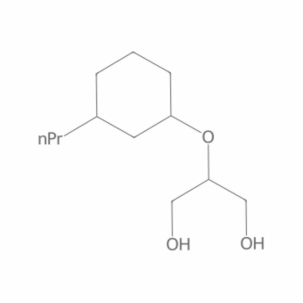 CCCC1CCCC(OC(CO)CO)C1